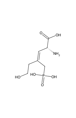 N[C@H](C=C(CCO)CP(=O)(O)O)C(=O)O